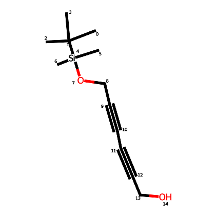 CC(C)(C)[Si](C)(C)OCC#CC#CCO